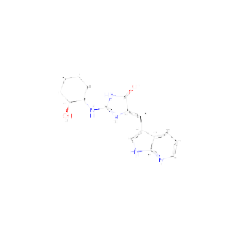 O=C1NC(NC2CCCC[C@@H]2O)=NC1=Cc1c[nH]c2ncccc12